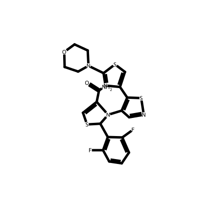 NC(=O)C1=CSC(c2c(F)cccc2F)N1c1cnsc1-c1csc(N2CCOCC2)n1